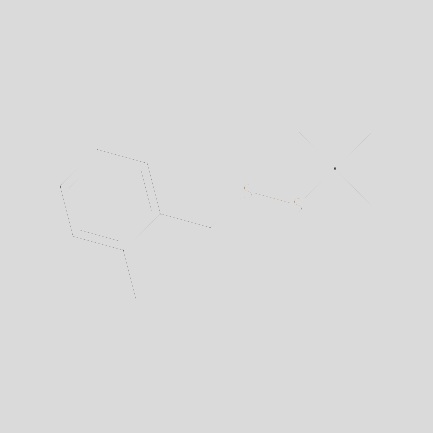 Cc1ccccc1CSSC(C)(C)C